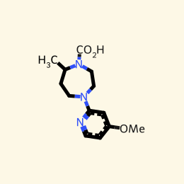 COc1ccnc(N2CCC(C)N(C(=O)O)CC2)c1